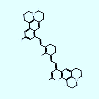 CC(C)(C)C1=C/C(=C\C=C2/CCCC(/C=C/c3cc(C(C)(C)C)cc4c5c6c(cc34)CCCN6CCC5)=C2Cl)c2cc3c4c(c2O1)CCCN4CCC3